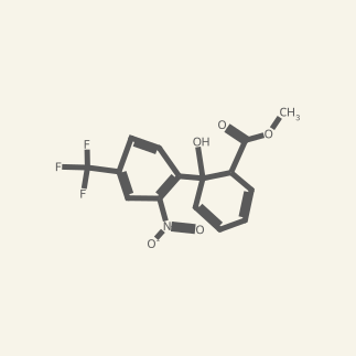 COC(=O)C1C=CC=CC1(O)c1ccc(C(F)(F)F)cc1[N+](=O)[O-]